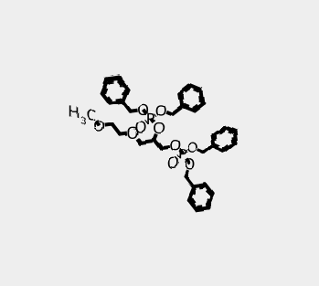 COCCOCC(COP(=O)(OCc1ccccc1)OCc1ccccc1)OP(=O)(OCc1ccccc1)OCc1ccccc1